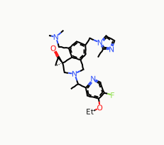 CCOc1cc(C(C)N2Cc3cc(Cn4ccnc4C)cc(CN(C)C)c3[C@@]3(CC3=O)C2)ncc1F